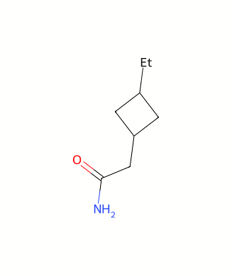 CCC1CC(CC(N)=O)C1